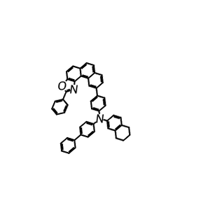 c1ccc(-c2ccc(N(c3ccc(-c4ccc5ccc6ccc7oc(-c8ccccc8)nc7c6c5c4)cc3)c3ccc4c(c3)CCCC4)cc2)cc1